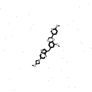 COc1ccc(C2COc3cc(Cc4cnn5cc(N6CC(OC)C6)cnc45)cc(OC)c3O2)cn1